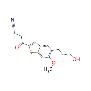 COc1cc2sc(C(=O)CCC#N)cc2cc1CCCO